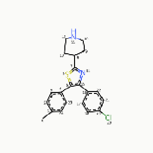 Cc1ccc(-c2sc(C3CCNCC3)nc2-c2ccc(Cl)cc2)cc1